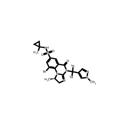 [2H]C([2H])(c1cnn(C)c1)N1C(=O)c2cc(S(=O)(=O)NC3(C)CC3)cc(Br)c2N2C1=NC[C@H]2C